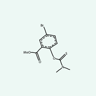 COC(=O)c1cc(Br)ccc1OC(=S)N(C)C